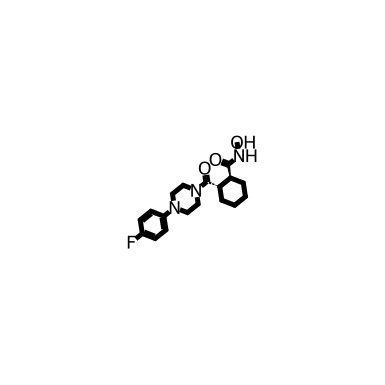 O=C(NO)[C@H]1CCCC[C@@H]1C(=O)N1CCN(c2ccc(F)cc2)CC1